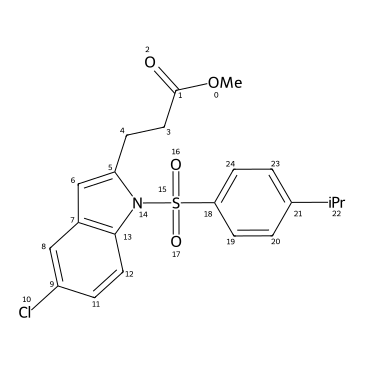 COC(=O)CCc1cc2cc(Cl)ccc2n1S(=O)(=O)c1ccc(C(C)C)cc1